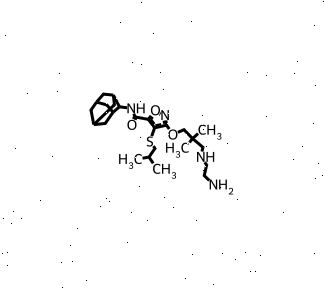 CC(C)CSc1c(OCC(C)(C)CNCCN)noc1C(=O)NC1C2CC3CC(C2)CC1C3